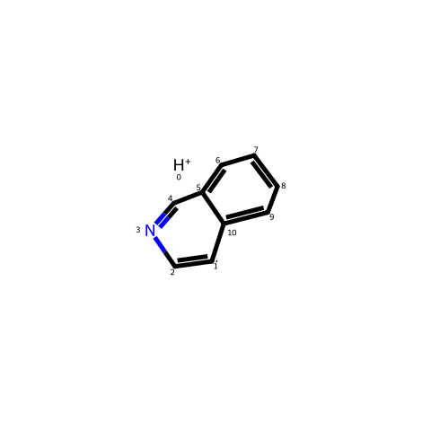 [H+].[c]1cncc2ccccc12